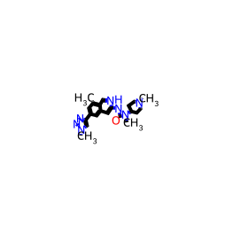 Cc1cc(-c2cn(C)nn2)cc2cc(NC(=O)N(C)C3CCN(C)CC3)ncc12